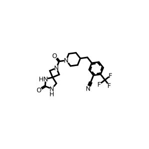 N#Cc1cc(CC2CCN(C(=O)N3CC4(CNC(=O)N4)C3)CC2)ccc1C(F)(F)F